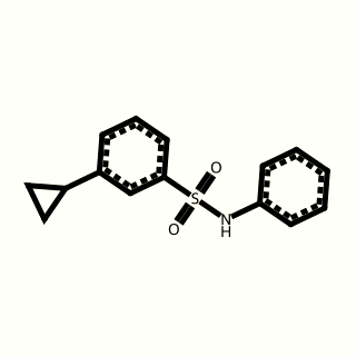 O=S(=O)(Nc1ccccc1)c1cccc(C2CC2)c1